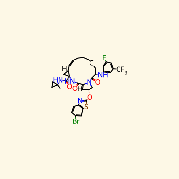 CC1(NC(=O)[C@@]23C[C@H]2/C=C\CCCCC[C@H](Nc2cc(F)cc(C(F)(F)F)c2)C(=O)N2C[C@H](Oc4nc5ccc(Br)cc5s4)C[C@H]2C(=O)N3)CC1